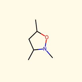 CC1CC(C)N(C)O1